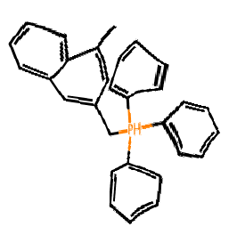 Cc1cc(C[PH](c2ccccc2)(c2ccccc2)c2ccccc2)cc2ccccc12